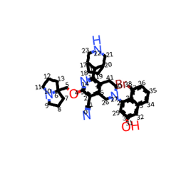 N#Cc1c(OCC23CCCN2CCC3)nc(C2C3CCC2CNC3)c2c1CN(c1cc(O)cc3cccc(Br)c13)CC2